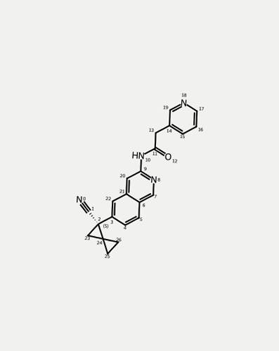 N#C[C@@]1(c2ccc3cnc(NC(=O)Cc4cccnc4)cc3c2)CC12CC2